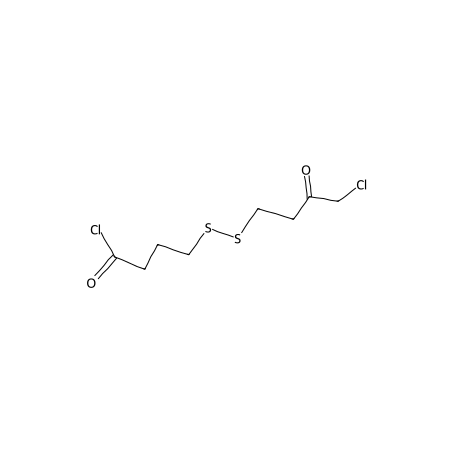 O=C(Cl)CCCSSCCC(=O)CCl